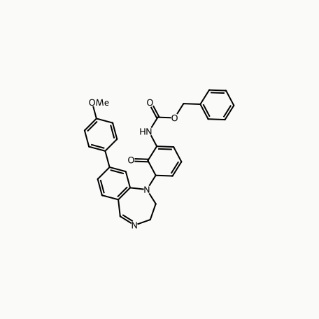 COc1ccc(-c2ccc3c(c2)N(C2C=CC=C(NC(=O)OCc4ccccc4)C2=O)CCN=C3)cc1